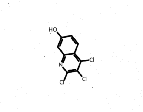 Oc1ccc2c(Cl)c(Cl)c(Cl)nc2c1